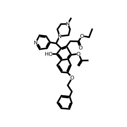 C=C(C)Oc1c(CC(=O)OCC)c(C(c2ccncc2)N2CCN(C)CC2)c(O)c2ccc(OCCc3ccccc3)cc12